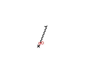 CC(C)CCCCCCCCCCC(=O)OCC(C)(C)C